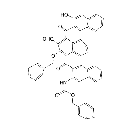 O=[C]c1c(OCc2ccccc2)c(C(=O)c2cc3ccccc3cc2NC(=O)OCc2ccccc2)c2ccccc2c1C(=O)c1cc2ccccc2cc1O